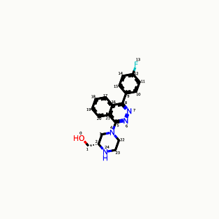 OC[C@@H]1CN(c2nnc(-c3ccc(F)cc3)c3ccccc23)CCN1